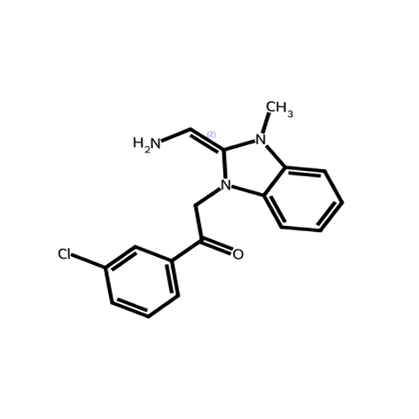 CN1/C(=C/N)N(CC(=O)c2cccc(Cl)c2)c2ccccc21